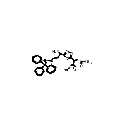 CC(OC(C)(C)C)C(OC(N)=O)c1nnc(C(N)CCC(=O)NC(c2ccccc2)(c2ccccc2)c2ccccc2)o1